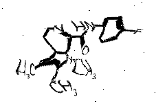 Cc1c(C)n(C)c2c(C(=O)Nc3ccc(F)cc3)nccc12